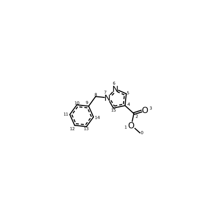 COC(=O)c1cnn(Cc2ccccc2)c1